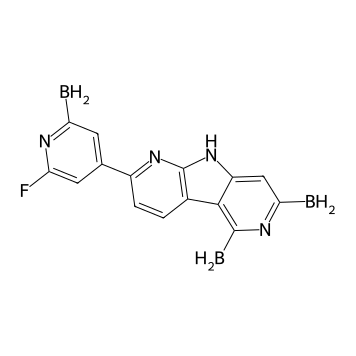 Bc1cc(-c2ccc3c(n2)[nH]c2cc(B)nc(B)c23)cc(F)n1